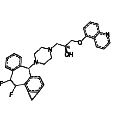 O[C@H](COc1cccc2ncccc12)CN1CCN(C2c3ccccc3C(F)C(F)c3c2ccc2c3C2)CC1